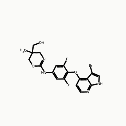 CC1(CO)CN=C(Nc2cc(F)c(Oc3ccnc4[nH]cc(Br)c34)c(F)c2)OC1